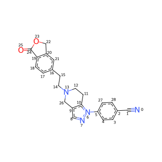 N#Cc1ccc(-n2ncc3c2CCN(CCc2ccc4c(c2)COC4=O)C3)cc1